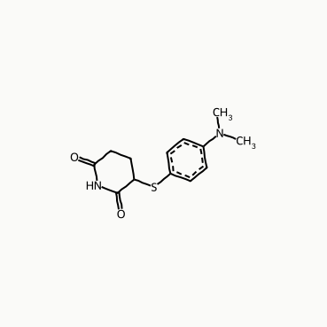 CN(C)c1ccc(SC2CCC(=O)NC2=O)cc1